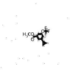 COC(=O)c1cc(OC(F)(F)F)cc(C2CC2)c1